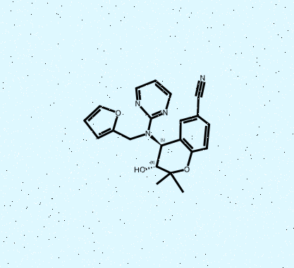 CC1(C)Oc2ccc(C#N)cc2[C@H](N(Cc2ccco2)c2ncccn2)[C@H]1O